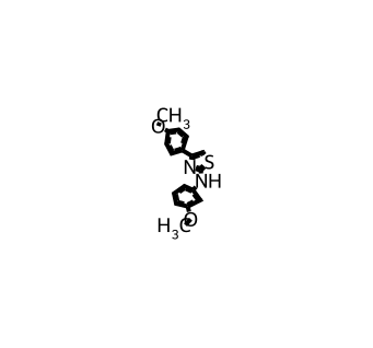 COc1ccc(-c2csc(Nc3cccc(OC)c3)n2)cc1